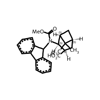 COC(=O)N(C1c2ccccc2-c2ccccc21)[C@H]1[C@H]2C[C@@H](C[C@H]1C(=O)O)C2(C)C